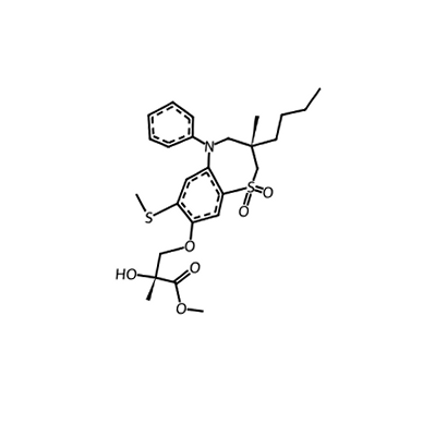 CCCC[C@@]1(C)CN(c2ccccc2)c2cc(SC)c(OC[C@@](C)(O)C(=O)OC)cc2S(=O)(=O)C1